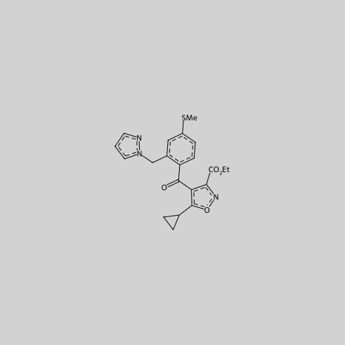 CCOC(=O)c1noc(C2CC2)c1C(=O)c1ccc(SC)cc1Cn1cccn1